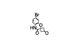 O=C1CC2(C1)Oc1cc(Br)ccc1NC2=O